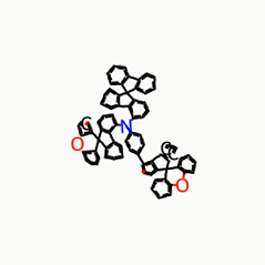 c1ccc2c(c1)Oc1ccccc1C21c2ccccc2-c2c(-c3ccc(N(c4cccc5c4-c4ccccc4C54c5ccccc5Oc5ccccc54)c4cccc5c4-c4ccccc4C54c5ccccc5-c5ccccc54)cc3)cccc21